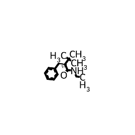 CCNC(=O)[C@@H](Cc1ccccc1)C(C)(C)C